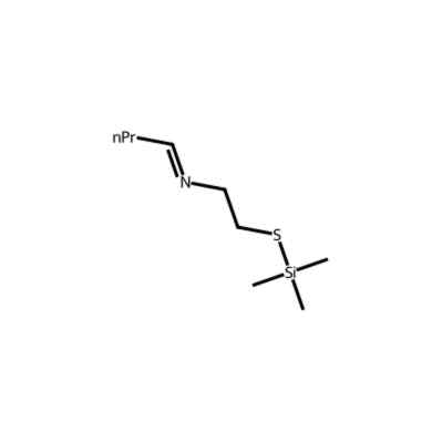 CCC/C=N/CCS[Si](C)(C)C